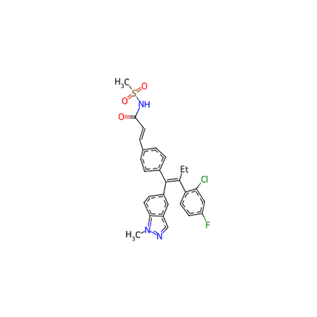 CCC(=C(c1ccc(C=CC(=O)NS(C)(=O)=O)cc1)c1ccc2c(cnn2C)c1)c1ccc(F)cc1Cl